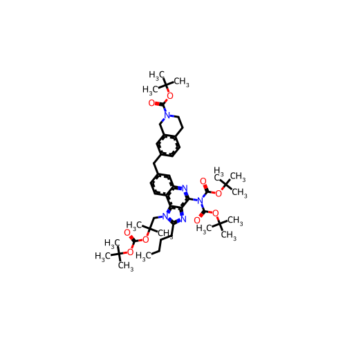 CCCCc1nc2c(N(C(=O)OC(C)(C)C)C(=O)OC(C)(C)C)nc3cc(Cc4ccc5c(c4)CN(C(=O)OC(C)(C)C)CC5)ccc3c2n1CC(C)(C)OC(=O)OC(C)(C)C